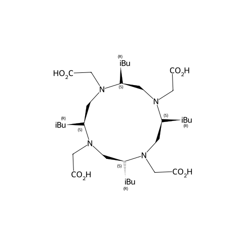 CC[C@@H](C)[C@H]1CN(CC(=O)O)[C@@H]([C@H](C)CC)CN(CC(=O)O)[C@@H]([C@H](C)CC)CN(CC(=O)O)[C@@H]([C@H](C)CC)CN1CC(=O)O